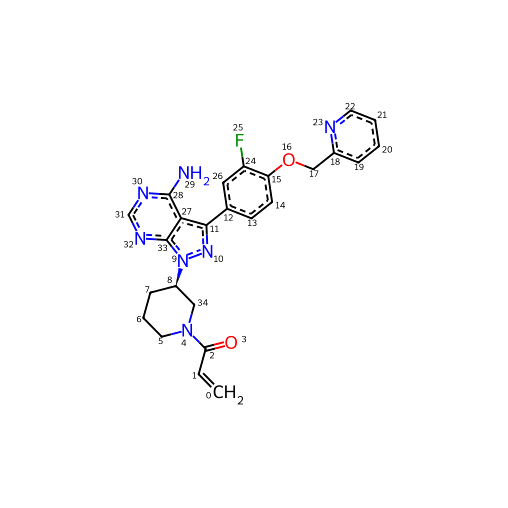 C=CC(=O)N1CCC[C@@H](n2nc(-c3ccc(OCc4ccccn4)c(F)c3)c3c(N)ncnc32)C1